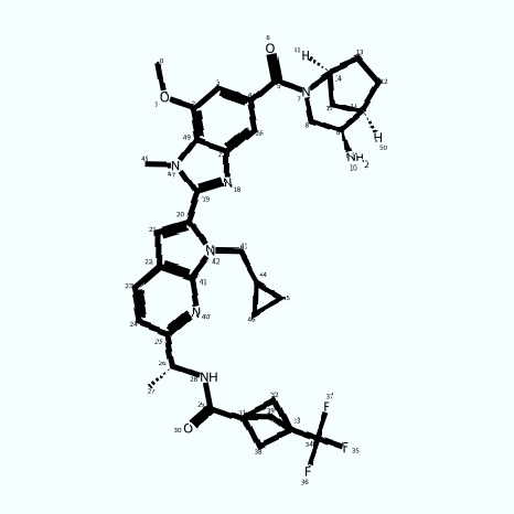 COc1cc(C(=O)N2C[C@H](N)[C@@H]3CC[C@H]2C3)cc2nc(-c3cc4ccc([C@@H](C)NC(=O)C56CC(C(F)(F)F)(C5)C6)nc4n3CC3CC3)n(C)c12